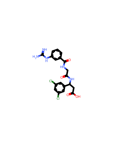 N=C(N)Nc1cccc(C(=O)NCC(=O)NC(CC(=O)O)c2cc(Cl)cc(Cl)c2)c1